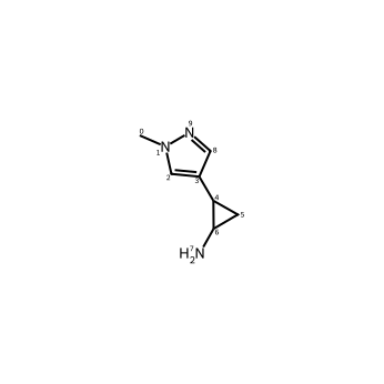 Cn1cc(C2CC2N)cn1